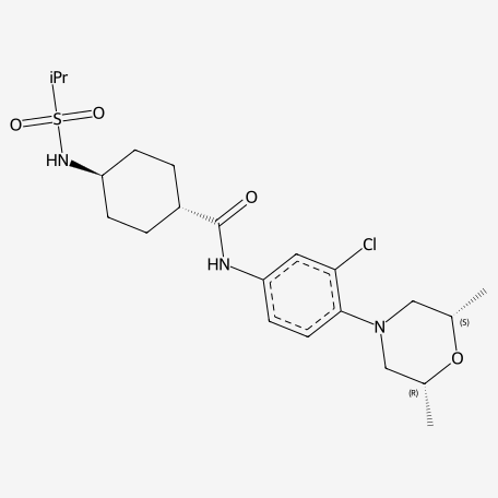 CC(C)S(=O)(=O)N[C@H]1CC[C@H](C(=O)Nc2ccc(N3C[C@@H](C)O[C@@H](C)C3)c(Cl)c2)CC1